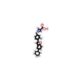 O=C(O)C1CN(Cc2ccc(-c3cc4cc(C5CCCCC5)ccc4o3)c(F)c2)C1